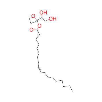 CCCCCCCC/C=C\CCCCCCCC(=O)OC1(C(O)CO)CCO1